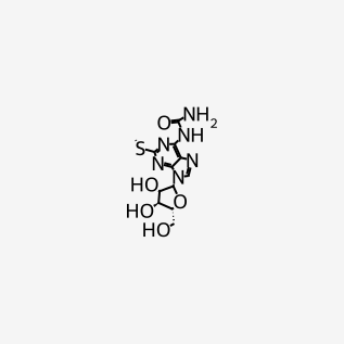 CSc1nc(NC(N)=O)c2ncn([C@@H]3O[C@H](CO)[C@@H](O)[C@H]3O)c2n1